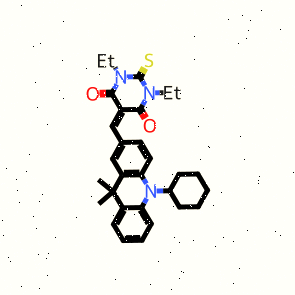 CCN1C(=O)C(=Cc2ccc3c(c2)C(C)(C)c2ccccc2N3C2CCCCC2)C(=O)N(CC)C1=S